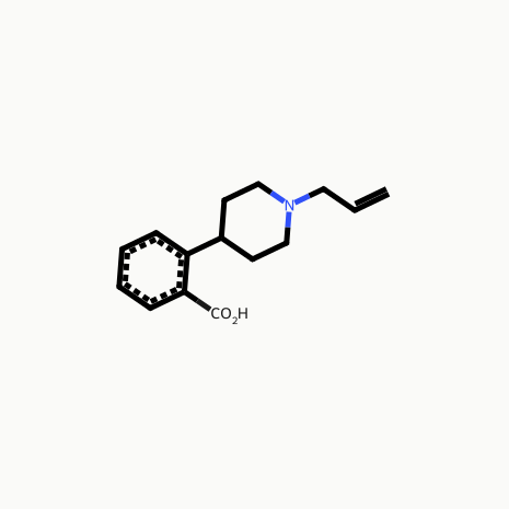 C=CCN1CCC(c2ccccc2C(=O)O)CC1